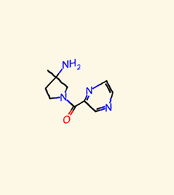 CC1(N)CCN(C(=O)c2cnccn2)C1